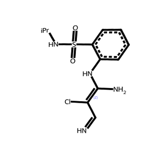 CC(C)NS(=O)(=O)c1ccccc1N/C(N)=C(\Cl)C=N